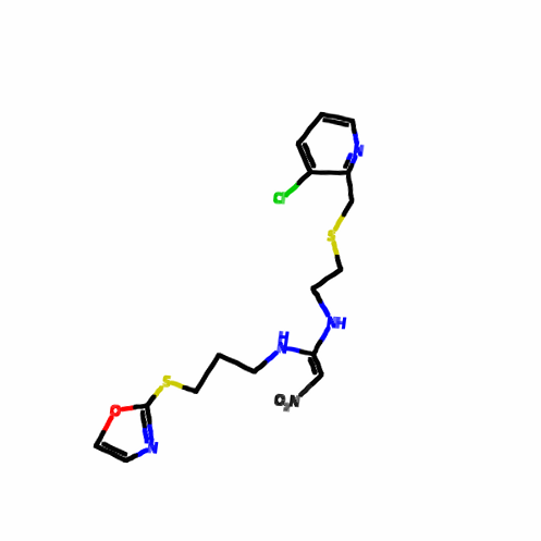 O=[N+]([O-])/C=C(\NCCCSc1ncco1)NCCSCc1ncccc1Cl